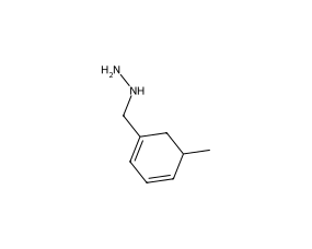 CC1C=CC=C(CNN)C1